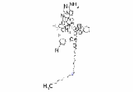 CCCCCCCC/C=C\CCCCCCCCOC[C@H](COP(=O)(OC[C@H]1O[C@@](C#N)(c2ccc3c(N)ncnn23)[C@@H]2OC(C)(C)O[C@@H]21)Oc1ccccc1Cl)OCc1cc(F)cc(C#N)c1